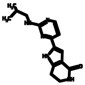 CC(C)CNc1nccc(-c2cc3c([nH]2)CCNC3=O)n1